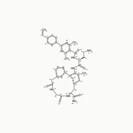 C=Cc1ccc(-c2nc(C)c(C(=O)N[C@@H](CCN)C(=O)Nc3c(C)cc4cc3-c3cccc(c3)CC(=O)NCC(=O)NC(C(N)=O)C4)c(C)n2)cc1